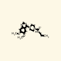 C=CCNC(=S)N1CCN(c2ncnc3cc(OC)c(OC)cc23)CC1